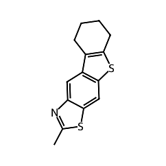 Cc1nc2cc3c4c(sc3cc2s1)CCCC4